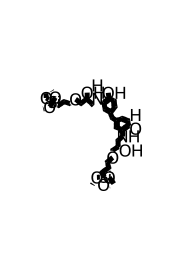 CO[Si](CCCOCC(O)CNc1cc(Cc2ccc(O)c(NCC(O)COCCC[Si](OC)(OC)OC)c2)ccc1O)(OC)OC